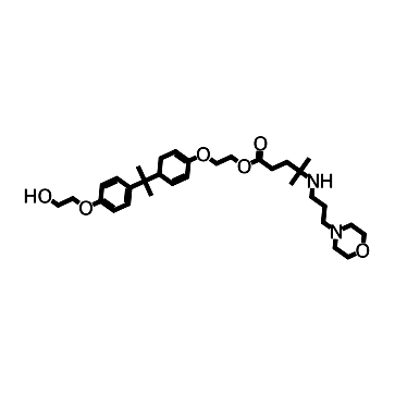 CC(C)(CCC(=O)OCCOC1=CCC(C(C)(C)c2ccc(OCCO)cc2)C=C1)NCCCN1CCOCC1